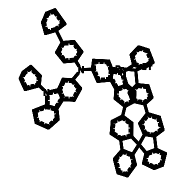 CCCC(c1ccc(-c2ccc3c(c2)C2(c4ccccc4-3)c3ccccc3-c3ccc(-c4ccc5c(c4)c4cc(N(c6ccc(-c7ccccc7)cc6)c6ccc7c8ccccc8n(-c8ccccc8)c7c6)ccc4n5-c4ccccc4)cc32)cc1)C(C)C